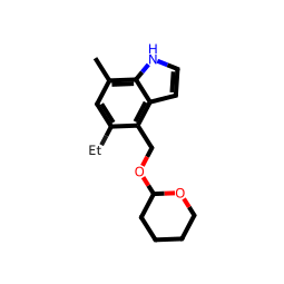 CCc1cc(C)c2[nH]ccc2c1COC1CCCCO1